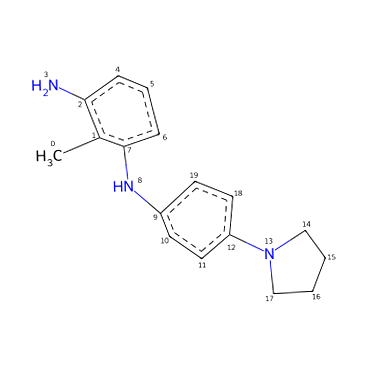 Cc1c(N)cccc1Nc1ccc(N2CCCC2)cc1